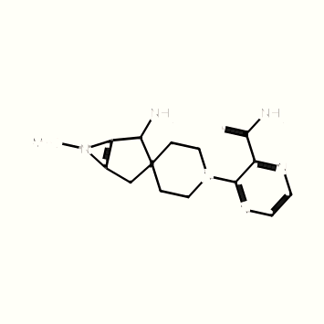 CSN1C2=C1C(N)C1(CCN(c3nccnc3C(N)=O)CC1)C2